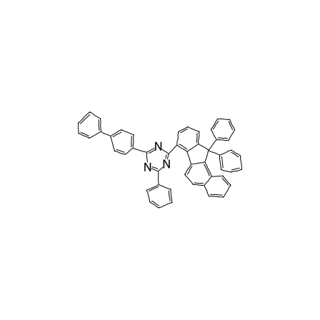 c1ccc(-c2ccc(-c3nc(-c4ccccc4)nc(-c4cccc5c4-c4ccc6ccccc6c4C5(c4ccccc4)c4ccccc4)n3)cc2)cc1